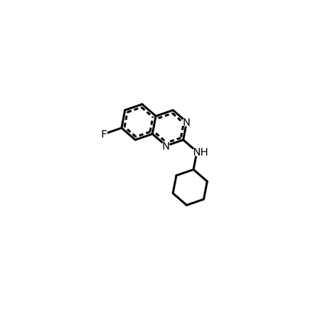 Fc1ccc2cnc(NC3CCCCC3)nc2c1